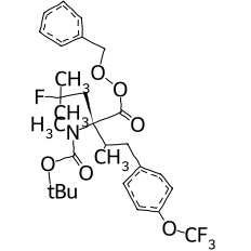 CC(Cc1ccc(OC(F)(F)F)cc1)[C@@](CC(C)(C)F)(C(=O)OOCc1ccccc1)N(C)C(=O)OC(C)(C)C